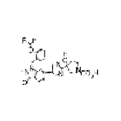 Cn1c(=O)c2ccc(-c3cnc(C4(O)CCN(C(=O)O)CC4)nc3)cc2n1Cc1ccccc1OC(F)F